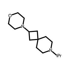 CC(C)N1CCC2(CC1)CC(N1CCOCC1)C2